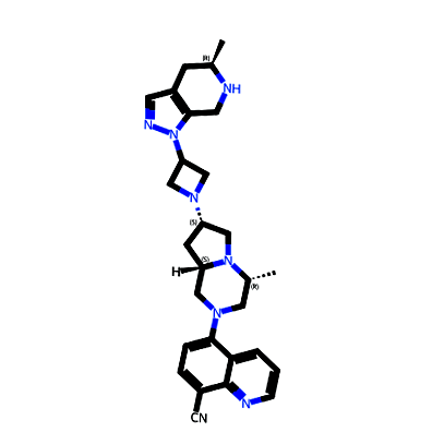 C[C@@H]1Cc2cnn(C3CN([C@H]4C[C@H]5CN(c6ccc(C#N)c7ncccc67)C[C@@H](C)N5C4)C3)c2CN1